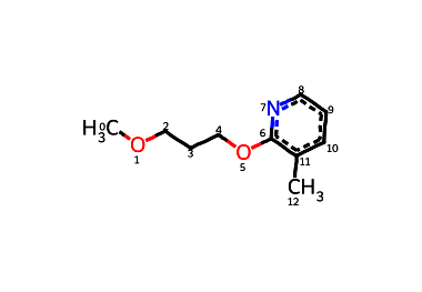 COCCCOc1ncccc1C